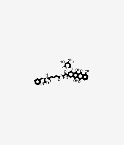 COc1cccc2c1C(=O)c1c(O)c3c(c(O)c1C2=O)C[C@@](O)(C(=O)COC(=O)CCCC(=O)N[C@H](Cc1ccccc1)C(N)=O)C[C@@H]3O[C@H]1C[C@H](N)[C@H](O)[C@H](C)O1